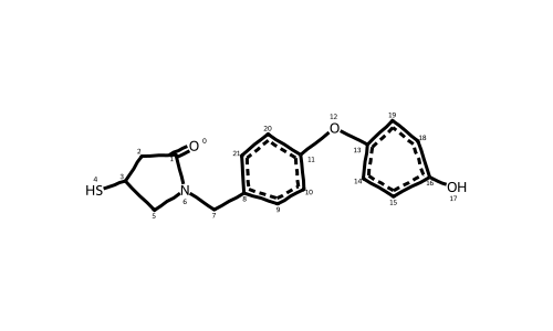 O=C1CC(S)CN1Cc1ccc(Oc2ccc(O)cc2)cc1